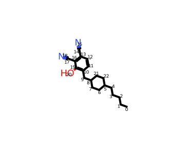 CCCCCC1CCC(Cc2c[c]c(C#N)c(C#N)c2O)CC1